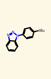 CC(C)(C)c1ccc(-n2nnc3cc[c]cc32)cc1